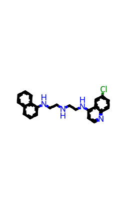 Clc1ccc2nccc(NCCNCCNc3cccc4ccccc34)c2c1